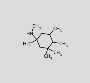 CNC1(C)CC(C)C(C)C(C)(C)C1